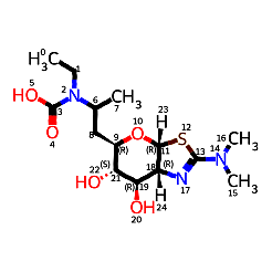 CCN(C(=O)O)C(C)C[C@H]1O[C@@H]2SC(N(C)C)=N[C@@H]2[C@@H](O)[C@@H]1O